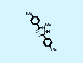 CC(C)(C)c1ccc(C(=O)NN(C(=O)c2ccc(C(C)(C)C)cc2)C(C)(C)C)cc1